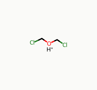 ClCOCCl.[H+]